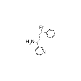 CCC(CCC(N)c1cccnc1)c1ccccc1